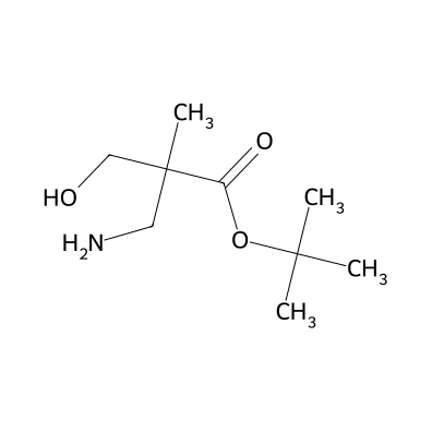 CC(C)(C)OC(=O)C(C)(CN)CO